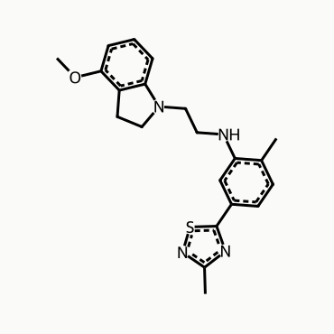 COc1cccc2c1CCN2CCNc1cc(-c2nc(C)ns2)ccc1C